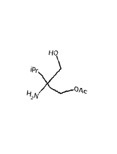 CC(=O)OCC(N)(CO)C(C)C